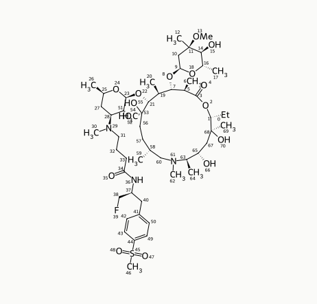 CC[C@H]1OC(=O)[C@H](C)[C@@H](O[C@H]2C[C@@](C)(OC)[C@@H](O)[C@H](C)O2)[C@H](C)[C@@H](O[C@@H]2O[C@H](C)C[C@H](N(C)CCCC(=O)N[C@H](CF)Cc3ccc(S(C)(=O)=O)cc3)[C@H]2O)[C@](C)(O)CC[C@@H](C)CN(C)[C@H](C)[C@@H](O)C[C@]1(C)O